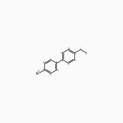 CCc1ccc(-c2c[c]c(Br)cc2)cc1